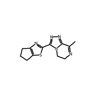 CC1=NCCn2c1nnc2-c1nc2c(s1)CCC2